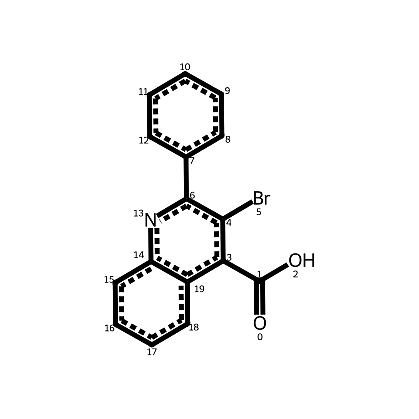 O=C(O)c1c(Br)c(-c2ccccc2)nc2ccccc12